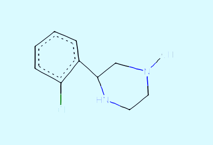 CN1CCNC(c2ccccc2Cl)C1